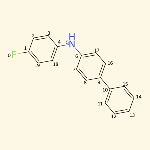 Fc1ccc(Nc2ccc(-c3ccccc3)cc2)cc1